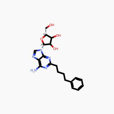 Nc1nc(CCCCc2ccccc2)nc2c1ncn2[C@@H]1O[C@H](CO)C(O)C1O